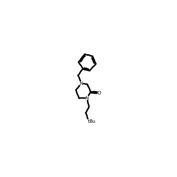 CC(C)(C)CCN1CCN(Cc2ccccc2)CC1=O